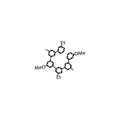 CCc1cccc(-c2cc(C)cc(-c3cc(OC)cc(-c4cc(CC)cc(-c5cc(C)cc(-c6cccc(OC)c6)c5)c4)c3)c2)c1